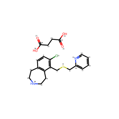 Clc1ccc2c(c1CSCc1ccccn1)CCNCC2.O=C(O)CCC(=O)O